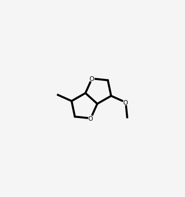 COC1COC2C(C)COC12